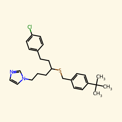 CC(C)(C)c1ccc(CSC(CCCn2ccnc2)CCc2ccc(Cl)cc2)cc1